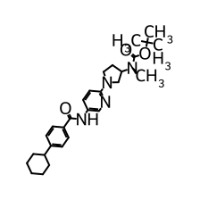 CN(C(=O)OC(C)(C)C)C1CCN(c2ccc(NC(=O)c3ccc(C4CCCCC4)cc3)cn2)C1